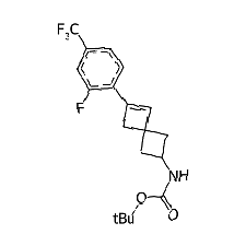 CC(C)(C)OC(=O)NC1CC2(C=C(c3ccc(C(F)(F)F)cc3F)C2)C1